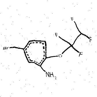 Nc1cc(Br)ccc1OC(F)(F)C(F)F